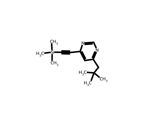 CC(C)(C)Cc1cc(C#C[Si](C)(C)C)ncn1